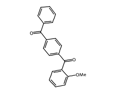 COc1ccccc1C(=O)c1ccc(C(=O)c2ccccc2)cc1